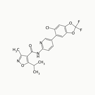 Cc1noc(C(C)C)c1C(=O)Nc1ccc(-c2cc3c(cc2Cl)OC(F)(F)O3)cn1